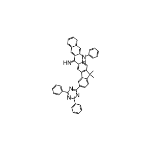 CC1(C)c2ccc(C(=N)c3cc4ccccc4cc3Nc3ccccc3)cc2-c2cc(-c3nc(-c4ccccc4)nc(-c4ccccc4)n3)ccc21